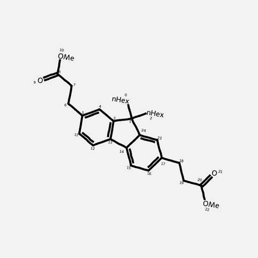 CCCCCCC1(CCCCCC)c2cc(CCC(=O)OC)ccc2-c2ccc(CCC(=O)OC)cc21